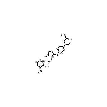 CC[C@H](CC(=O)O)c1ccc(OC2CCC3=CC(c4cccc(OC)c4F)CC=C32)cc1